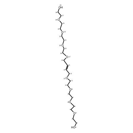 OCCOCCOCCOCCOC/C=C/COCCOCCOCCOCCO